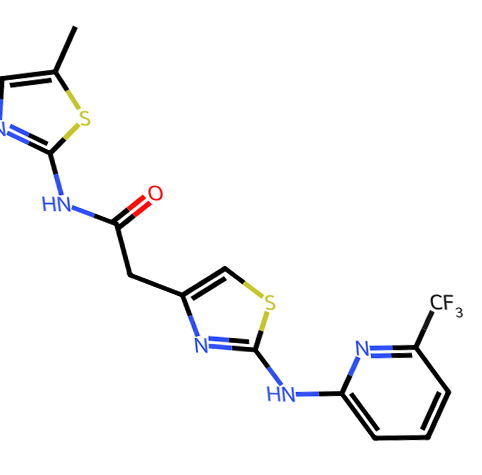 Cc1cnc(NC(=O)Cc2csc(Nc3cccc(C(F)(F)F)n3)n2)s1